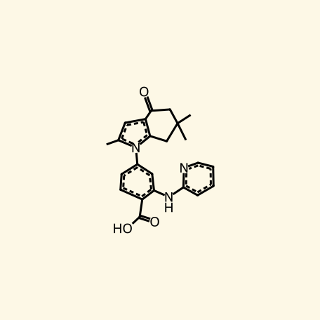 Cc1cc2c(n1-c1ccc(C(=O)O)c(Nc3ccccn3)c1)CC(C)(C)CC2=O